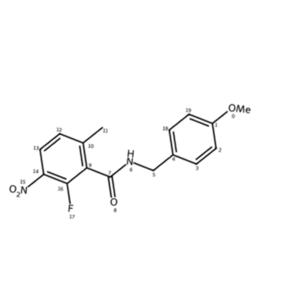 COc1ccc(CNC(=O)c2c(C)ccc([N+](=O)[O-])c2F)cc1